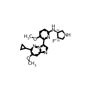 COc1ccc(N[C@H]2CNC[C@@H]2F)nc1-c1cnc2cc(OC)c(C3CC3)nn12